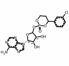 Nc1ncnc2c1ncn2[C@@H]1OC(OP2(=O)OCCC(c3cccc(Cl)c3)O2)[C@@H](O)[C@H]1O